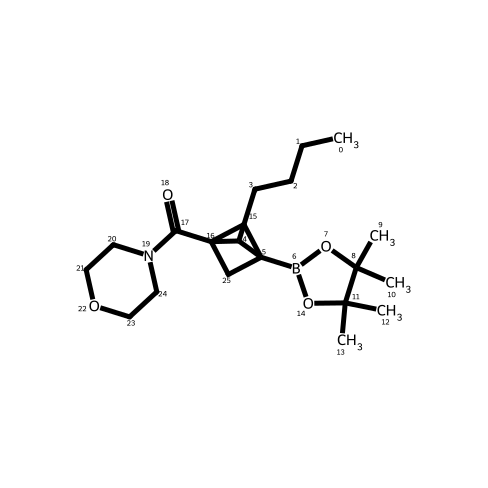 CCCCC1C2(B3OC(C)(C)C(C)(C)O3)CC1(C(=O)N1CCOCC1)C2